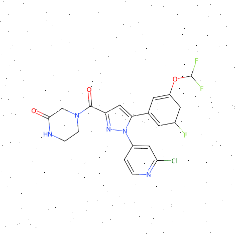 O=C1CN(C(=O)c2cc(C3=CC(F)CC(OC(F)F)=C3)n(-c3ccnc(Cl)c3)n2)CCN1